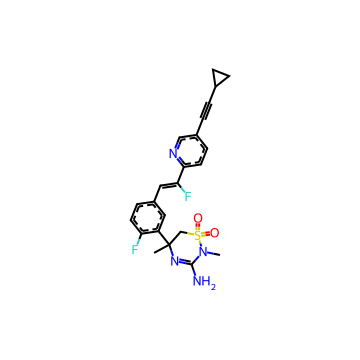 CN1C(N)=NC(C)(c2cc(C=C(F)c3ccc(C#CC4CC4)cn3)ccc2F)CS1(=O)=O